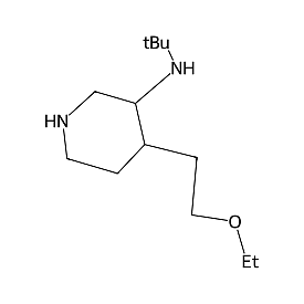 CCOCCC1CCNCC1NC(C)(C)C